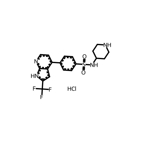 Cl.O=S(=O)(NC1CCNCC1)c1ccc(-c2ccnc3[nH]c(C(F)(F)F)cc23)cc1